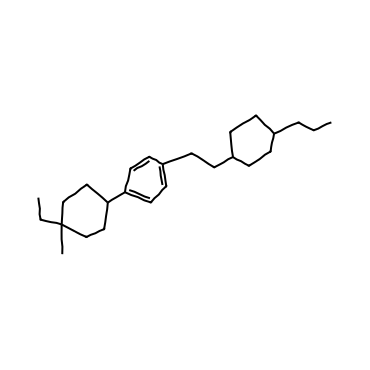 CCCC1CCC(CCc2ccc(C3CCC(C)(CC)CC3)cc2)CC1